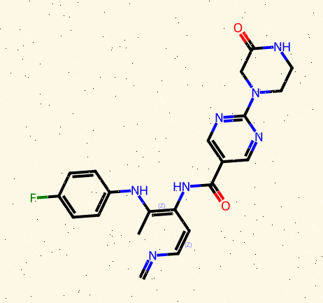 C=N/C=C\C(NC(=O)c1cnc(N2CCNC(=O)C2)nc1)=C(/C)Nc1ccc(F)cc1